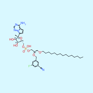 CCCCCCCCCCCCCCCOC[C@H](COP(=O)(O)OC[C@H]1O[C@@](C)(c2ccc3c(N)ncnn23)[C@H](O)[C@@H]1O)OCc1cc(F)cc(C#N)c1